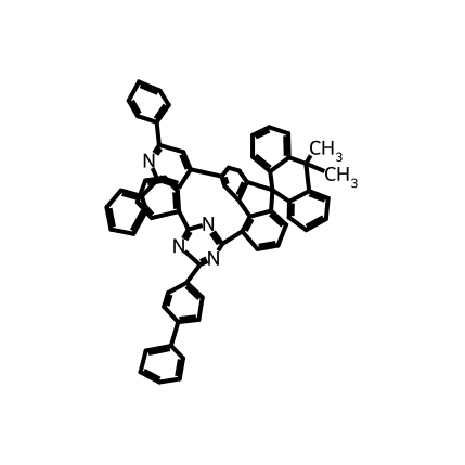 CC1(C)c2ccccc2C2(C3=C(C=C(c4cc(-c5ccccc5)nc(-c5ccccc5)c4)CC3)c3c(-c4nc(-c5ccccc5)nc(-c5ccc(-c6ccccc6)cc5)n4)cccc32)c2ccccc21